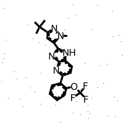 Cn1nc(C(C)(C)C)cc1-c1nc2nc(-c3ccccc3OC(F)(F)F)ccc2[nH]1